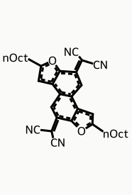 CCCCCCCCc1cc2c(o1)c(=C(C#N)C#N)cc1c3cc(CCCCCCCC)oc3c(=C(C#N)C#N)cc21